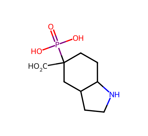 O=C(O)C1(P(=O)(O)O)CCC2NCCC2C1